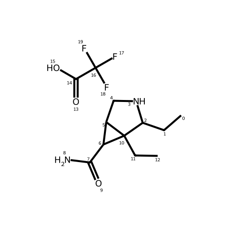 CCC1NCC2C(C(N)=O)C12CC.O=C(O)C(F)(F)F